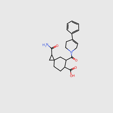 NC(=O)C1CC12CCC(C(=O)O)C(C(=O)N1CC=C(c3ccccc3)CC1)C2